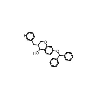 OC1c2ccc(OC(c3ccccc3)c3ccccc3)cc2OCC1Cc1cccnc1